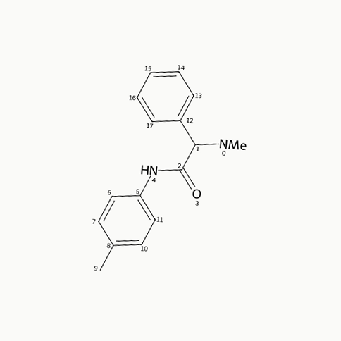 CNC(C(=O)Nc1ccc(C)cc1)c1ccccc1